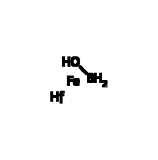 BO.[Fe].[Hf]